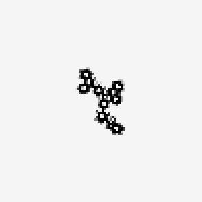 c1cc(-c2ccc(N(c3ccc(-c4cc5ccccc5c5ccccc45)cc3)c3cc4ccccc4c4ccccc34)cc2)cc(-c2cc3ccccc3o2)c1